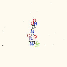 COC[C@@]1(C(=O)N2CCc3ncc(C(F)(F)F)cc3C2)CCN(Cc2ccc3c(c2)oc(=O)n3C)C1